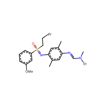 CCN(C)C=Nc1cc(C)c(N=S(=O)(CCC(C)C)c2cccc(OC)c2)cc1C